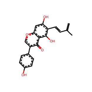 C=C(C)C=Cc1c(O)cc2occ(-c3ccc(O)cc3)c(=O)c2c1O